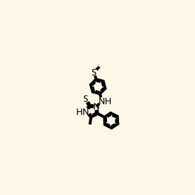 CSc1ccc(Nn2c(-c3ccccc3)c(C)[nH]c2=S)cc1